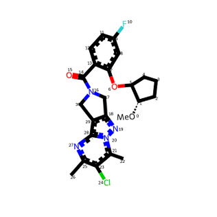 CO[C@H]1CCCC1Oc1cc(F)ccc1C(=O)N1Cc2nn3c(C)c(Cl)c(C)nc3c2C1